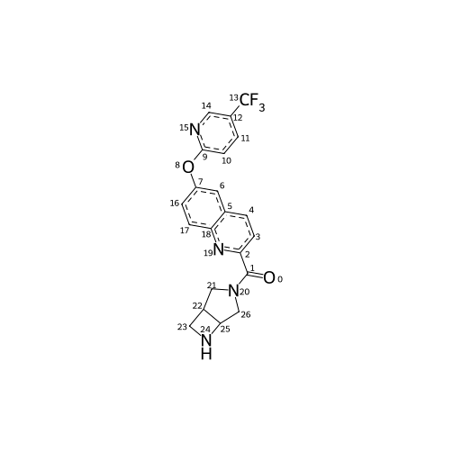 O=C(c1ccc2cc(Oc3ccc(C(F)(F)F)cn3)ccc2n1)N1CC2CNC2C1